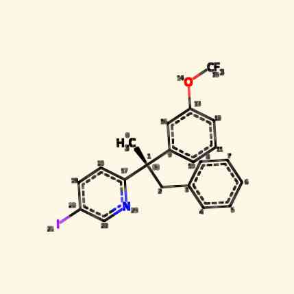 C[C@](Cc1ccccc1)(c1cccc(OC(F)(F)F)c1)c1ccc(I)cn1